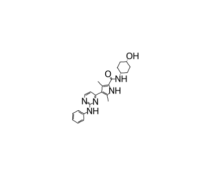 Cc1[nH]c(C(=O)N[C@H]2CC[C@@H](O)CC2)c(C)c1-c1ccnc(Nc2ccccc2)n1